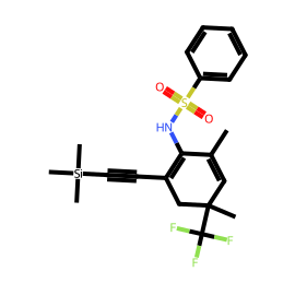 CC1=CC(C)(C(F)(F)F)CC(C#C[Si](C)(C)C)=C1NS(=O)(=O)c1ccccc1